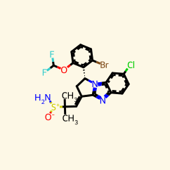 CC(C)(C=C1C[C@H](c2c(Br)cccc2OC(F)F)n2c1nc1ccc(Cl)cc12)[S+](N)[O-]